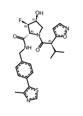 Cc1ncsc1-c1ccc(CNC(=O)[C@@H]2[C@@H](F)[C@@H](O)CN2C(=O)[C@@H](c2ccno2)C(C)C)cc1